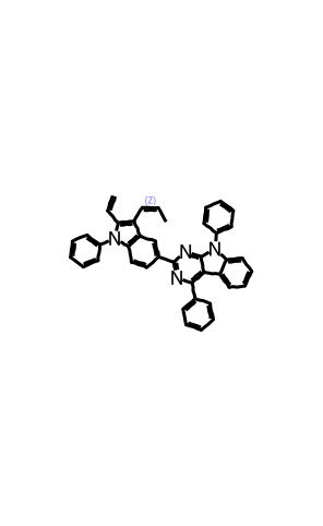 C=Cc1c(/C=C\C)c2cc(-c3nc(-c4ccccc4)c4c5ccccc5n(-c5ccccc5)c4n3)ccc2n1-c1ccccc1